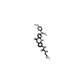 CCCNC(=O)Nc1ccc2c(c1)Nc1nc(N(C)C3CCN(C)CC3)ncc1C(=O)C2